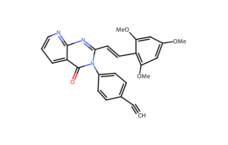 C#Cc1ccc(-n2c(C=Cc3c(OC)cc(OC)cc3OC)nc3ncccc3c2=O)cc1